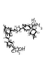 C[C@@H](CO)n1cc(-c2cc3c(N4CC=C(c5ncc(C(C)(N)c6ccc(F)cc6)cn5)CC4)ncnn3c2)cn1